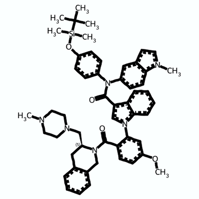 COc1ccc(C(=O)N2Cc3ccccc3C[C@H]2CN2CCN(C)CC2)c(-n2cc(C(=O)N(c3ccc(O[Si](C)(C)C(C)(C)C)cc3)c3ccc4c(ccn4C)c3)c3ccccc32)c1